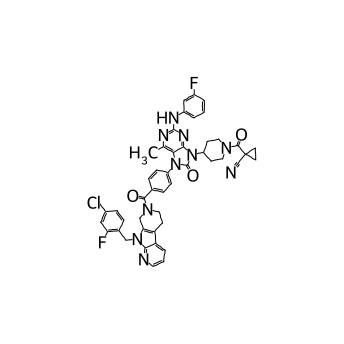 Cc1nc(Nc2cccc(F)c2)nc2c1n(-c1ccc(C(=O)N3CCc4c(n(Cc5ccc(Cl)cc5F)c5ncccc45)C3)cc1)c(=O)n2C1CCN(C(=O)C2(C#N)CC2)CC1